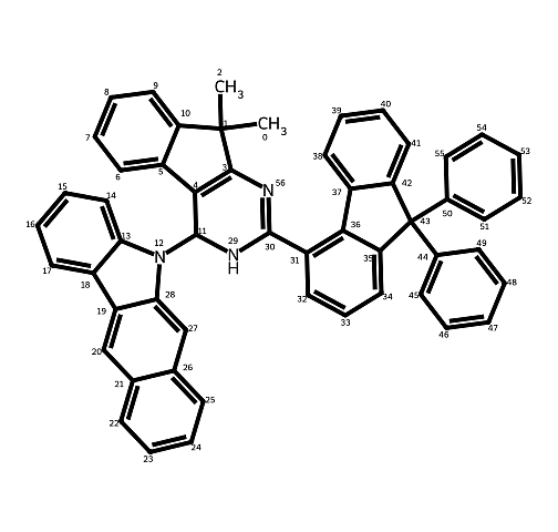 CC1(C)C2=C(c3ccccc31)C(n1c3ccccc3c3cc4ccccc4cc31)NC(c1cccc3c1-c1ccccc1C3(c1ccccc1)c1ccccc1)=N2